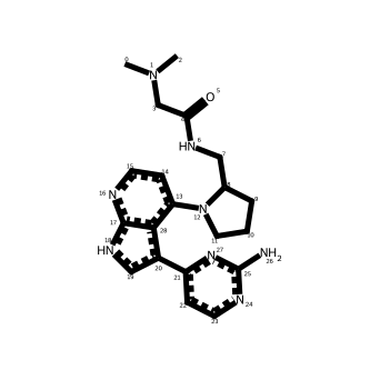 CN(C)CC(=O)NCC1CCCN1c1ccnc2[nH]cc(-c3ccnc(N)n3)c12